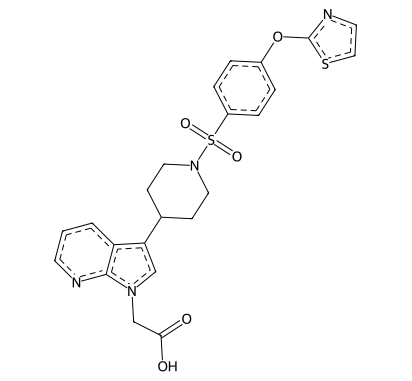 O=C(O)Cn1cc(C2CCN(S(=O)(=O)c3ccc(Oc4nccs4)cc3)CC2)c2cccnc21